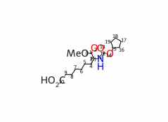 COC(=O)[C@H](CCCCCCC(=O)O)NC(=O)OC1CCCC1